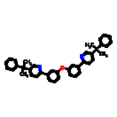 C[Si](C)(c1ccccc1)c1ccc(-c2cccc(Oc3cccc(-c4ccc([Si](C)(C)c5ccccc5)cn4)c3)c2)nc1